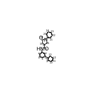 O=C(Nc1cccc(-c2ccccc2)c1)C1CC(=O)N(c2ccccc2)C1